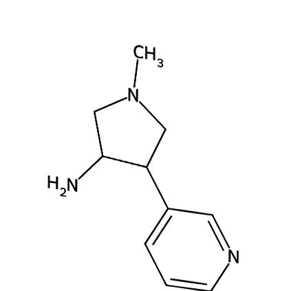 CN1CC(N)C(c2cccnc2)C1